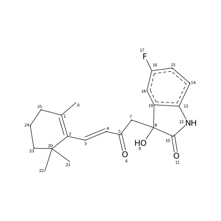 CC1=C(/C=C/C(=O)CC2(O)C(=O)Nc3ccc(F)cc32)C(C)(C)CCC1